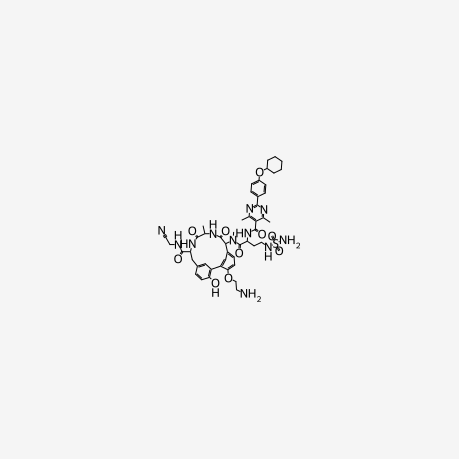 Cc1nc(-c2ccc(OC3CCCCC3)cc2)nc(C)c1C(=O)NC(CCNS(N)(=O)=O)C(=O)N(C)C1C(=O)NC(C)C(=O)NC(C(=O)NCC#N)Cc2ccc(O)c(c2)-c2cc1ccc2OCCN